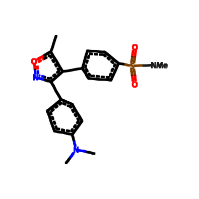 CNS(=O)(=O)c1ccc(-c2c(-c3ccc(N(C)C)cc3)noc2C)cc1